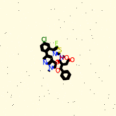 CN(C(=O)C(CC(=O)O)Cc1ccccc1)c1nc(-c2cc(Cl)ccc2-c2cnc3c(c2)CC(=O)N3C)c(F)s1